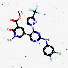 COC(=O)c1cc(-c2cnc(Nc3ccc(F)c(Cl)c3)nc2-n2ccc(C(F)(F)F)n2)cn(C)c1=O